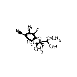 C=C(C)C(F)(Oc1ccc(C#N)c(Br)c1F)C(O)OC